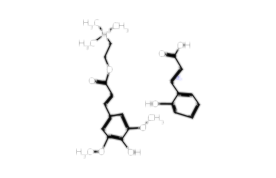 COc1cc(C=CC(=O)OCC[N+](C)(C)C)cc(OC)c1O.O=C(O)/C=C/c1ccccc1O